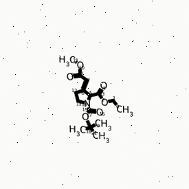 CCOC(=O)C1C(=CC(=O)OC)CCN1C(=O)OC(C)(C)C